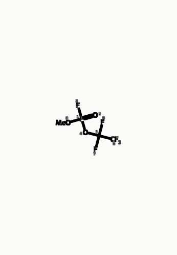 COP(=O)(F)OC(F)(F)C(F)(F)F